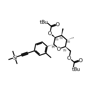 Cc1cc(C#C[Si](C)(C)C)ccc1[C@H]1O[C@H](COC(=O)C(C)(C)C)[C@@H](C)[C@H](C)[C@@H]1OC(=O)C(C)(C)C